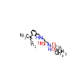 C=C(C)c1cccc(CNC[C@@H](O)CNC(=O)OC(C)(C)C)c1